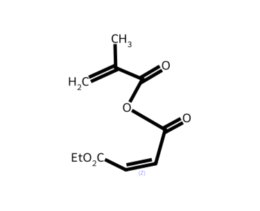 C=C(C)C(=O)OC(=O)/C=C\C(=O)OCC